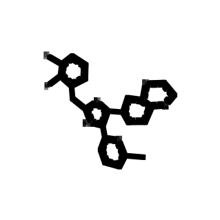 Cc1cccc(-c2[nH]c(Cc3cccc(F)c3F)nc2-c2ccc3nccnc3c2)n1